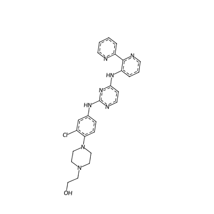 OCCN1CCN(c2ccc(Nc3nccc(Nc4cccnc4-c4ccccn4)n3)cc2Cl)CC1